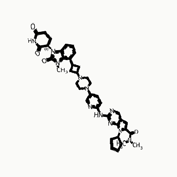 CN(C)C(=O)c1cc2cnc(Nc3ccc(N4CCN(C5CC(c6cccc7c6n(C)c(=O)n7[C@@H]6CCC(=O)NC6=O)C5)CC4)cn3)nc2n1C1CCCC1